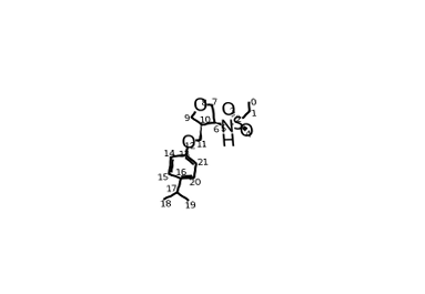 CCS(=O)(=O)N[C@@H]1COC[C@@H]1COc1ccc(C(C)C)cc1